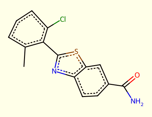 Cc1cccc(Cl)c1-c1nc2ccc(C(N)=O)cc2s1